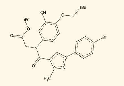 Cc1nn(-c2ccc(Br)cc2)cc1C(=O)N(CC(=O)OC(C)C)c1ccc(OCC(C)(C)C)c(C#N)c1